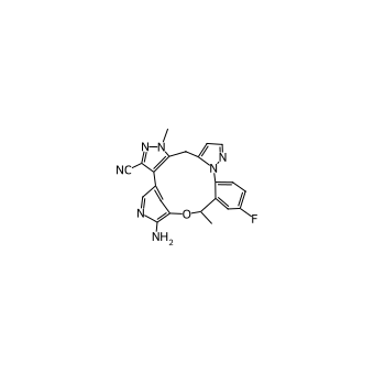 CC1Oc2cc(cnc2N)-c2c(C#N)nn(C)c2Cc2ccnn2-c2ccc(F)cc21